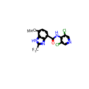 COc1ccc(C(=O)Nc2c(Cl)cncc2Cl)c2nc(C(F)(F)F)[nH]c12